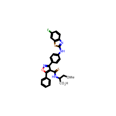 COCC(NC(=S)c1c(-c2ccc(Nc3nc4ccc(F)cc4s3)cc2)noc1-c1ccccc1)C(=O)O